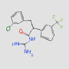 N=C(N)NC(=O)C(Cc1cccc(Cl)c1)c1cccc(C(F)(F)F)c1